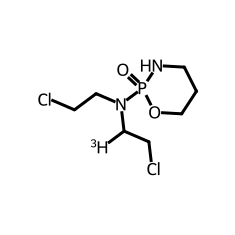 [3H]C(CCl)N(CCCl)P1(=O)NCCCO1